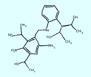 CC(O)c1cc(N)c(CNc2ccccc2N(C(C)O)C(C)O)c(C(C)O)c1N